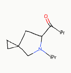 CC(C)C(=O)C1CC2(CC2)CN1C(C)C